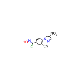 N#Cc1cc(C(Cl)=NO)ccc1-n1cc([N+](=O)[O-])cn1